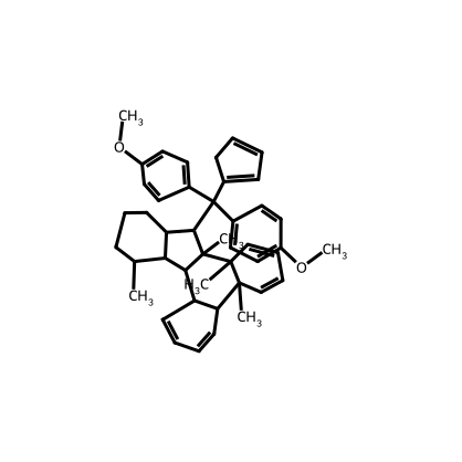 COc1ccc(C(C2=CC=CC2)(c2ccc(OC)cc2)C2C3CCCC(C)C3C3C4C=CC=CC4C4(C)C=CC=CC4(C)C32C)cc1